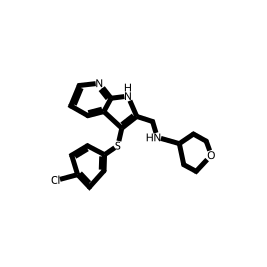 Clc1ccc(Sc2c(CNC3CCOCC3)[nH]c3ncccc23)cc1